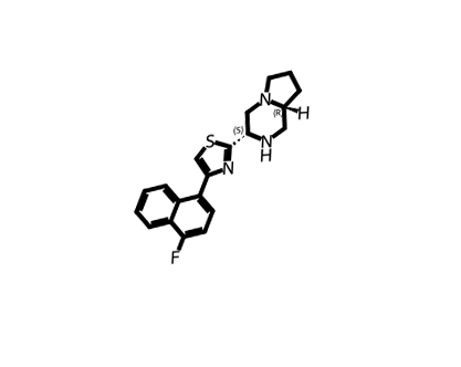 Fc1ccc(-c2csc([C@@H]3CN4CCC[C@@H]4CN3)n2)c2ccccc12